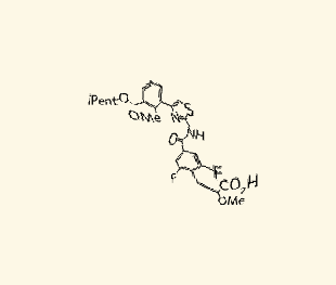 CCCC(C)OCc1cccc(-c2csc(NC(=O)c3cc(F)c(C=C(OC)C(=O)O)c(F)c3)n2)c1OC